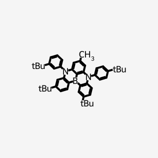 Cc1cc2c3c(c1)N(c1cccc(C(C)(C)C)c1)c1cc(C(C)(C)C)ccc1B3c1cc(C(C)(C)C)ccc1N2c1ccc(C(C)(C)C)cc1